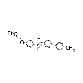 CCOCCOc1ccc(/C(F)=C(\F)c2ccc(-c3ccc(C)cc3)cc2)cc1